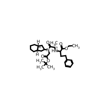 CCOC(=O)C(CCc1ccccc1)N[C@@H](C)C(=O)N(CC(=O)OC(C)(C)C)C1C[C@H]2CCCC[C@@H]2C1